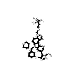 Cc1nnn(C)c1-c1cnc2c3c4cnn(COCC[Si](C)(C)C)c4ccc3n([C@H](c3ccccc3)C3CCOCC3)c2c1